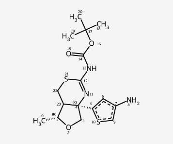 C[C@H]1OC[C@]2(c3cc(N)cs3)N=C(NC(=O)OC(C)(C)C)SCC12